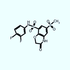 CS(=O)(=O)c1cc2c(c(S(=O)(=O)Nc3ccc(F)c(F)c3)c1)OCC(=O)N2